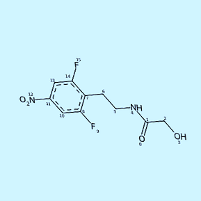 O=C(CO)NCCc1c(F)cc([N+](=O)[O-])cc1F